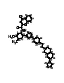 Cc1cc(NC(=O)c2cc(=O)c3ccccc3o2)c(-c2nnn(-c3ccc(CCN4CCc5ccc(-n6ccnc6)cc5C4)cc3)n2)cc1C